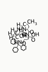 CC(C)C[C@H](NC(=O)[C@@H](N)C(C)(C)C)C(=O)N[C@@H](CCC(=O)NC(c1ccccc1)(c1ccccc1)c1ccccc1)C(=O)O